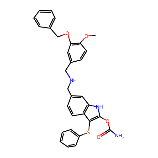 COc1ccc(CNCc2ccc3c(Sc4ccccc4)c(OC(N)=O)[nH]c3c2)cc1OCc1ccccc1